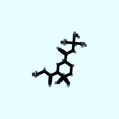 COC(=O)C1CN(C(=O)OC(C)(C)C)CCS1(=O)=O